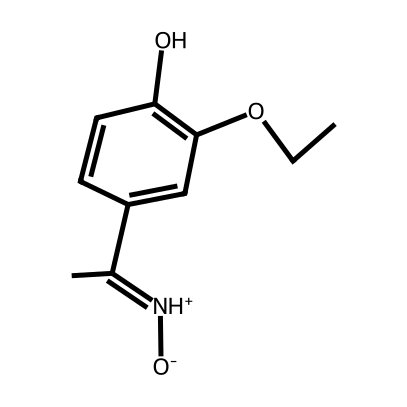 CCOc1cc(C(C)=[NH+][O-])ccc1O